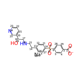 O=C([O-])c1ccc(S(=O)(=O)c2ccc(CCNC[C@H](O)c3cccnc3)cc2)cc1.[Na+]